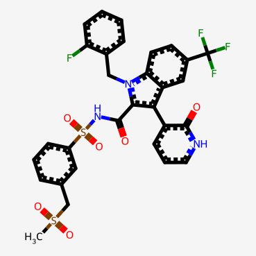 CS(=O)(=O)Cc1cccc(S(=O)(=O)NC(=O)c2c(-c3ccc[nH]c3=O)c3cc(C(F)(F)F)ccc3n2Cc2ccccc2F)c1